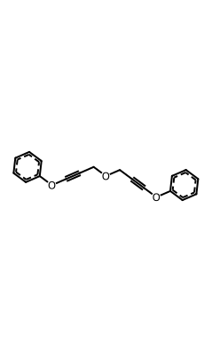 C(#COc1ccccc1)COCC#COc1ccccc1